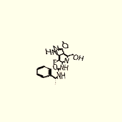 COc1n[nH]c2c(F)c(NC(=O)N[C@H](C)c3ccccc3)nc(CO)c12